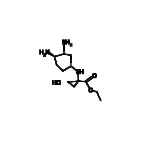 CCOC(=O)C1(NC2CC[C@@H](N)[C@@H](N)C2)CC1.Cl